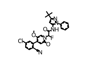 COc1cn(C(F)C(=O)Nc2cc(C(C)(C)C)nn2-c2ccccc2)c(=O)cc1-c1cc(Cl)ccc1C#N